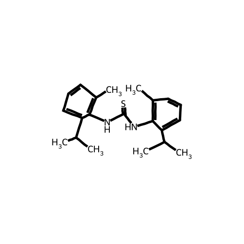 Cc1cccc(C(C)C)c1NC(=S)Nc1c(C)cccc1C(C)C